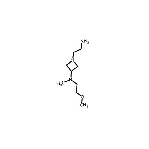 COCCN(C)C1CN(CCN)C1